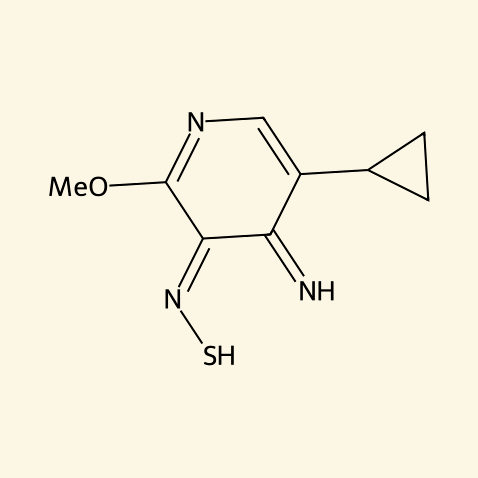 COC1=NC=C(C2CC2)C(=N)/C1=N\S